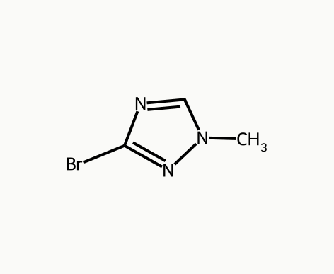 Cn1cnc(Br)n1